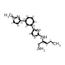 CC/C=C(/CN)Nc1nc(-c2cccc(-c3ccn(C)n3)c2)cs1